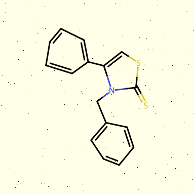 S=c1scc(-c2ccccc2)n1Cc1ccccc1